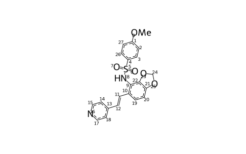 COc1ccc(S(=O)(=O)Nc2c(/C=C/c3ccncc3)ccc3c2OCO3)cc1